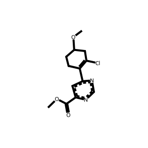 COC(=O)c1cc(C2=C(Cl)CC(OC)CC2)ncn1